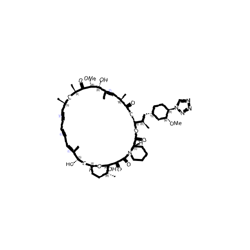 CO[C@@H]1C[C@H](C[C@@H](C)[C@@H]2CC(=O)[C@H](C)/C=C(\C)[C@@H](O)[C@@H](OC)C(=O)[C@H](C)C[C@H](C)/C=C/C=C/C=C(\C)[C@@H](O)C[C@@H]3CC[C@@H](C)[C@@](O)(O3)C(=O)C(=O)N3CCCC[C@H]3C(=O)O2)CC[C@H]1n1cnnn1